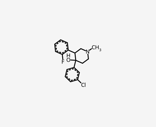 CN1CCC(O)(c2cccc(Cl)c2)C(c2ccccc2F)C1